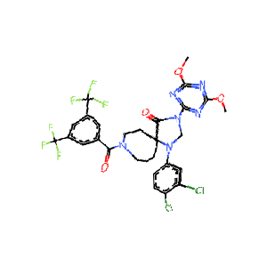 COc1nc(OC)nc(N2CN(c3ccc(Cl)c(Cl)c3)C3(CCN(C(=O)c4cc(C(F)(F)F)cc(C(F)(F)F)c4)CC3)C2=O)n1